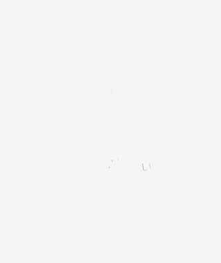 C=C(CBr)OCC